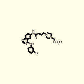 CCOC(=O)CN1CCN(C/C=C/C(=O)Nc2ccc3ncnc(Nc4cccc(Br)c4)c3c2)CC1